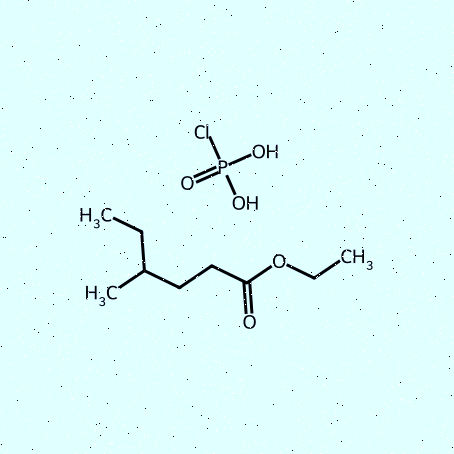 CCOC(=O)CCC(C)CC.O=P(O)(O)Cl